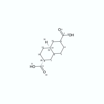 O=C(O)C1CCC2C[C@H](C(=O)O)CC[C@H]2C1